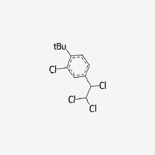 CC(C)(C)c1ccc(C(Cl)C(Cl)Cl)cc1Cl